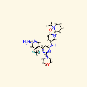 CC(C)[N+]1(Oc2ccc(Nc3cc(-c4cnc(N)cc4C(F)(F)F)nc(N4CCOCC4)n3)cn2)CCCCC1